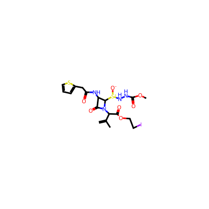 C=C(C)C(C(=O)OCCI)N1C(=O)C(NC(=O)Cc2cccs2)C1[S+]([O-])NNC(=O)OC